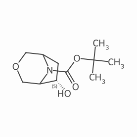 CC(C)(C)OC(=O)N1C2COCC1[C@@H](O)C2